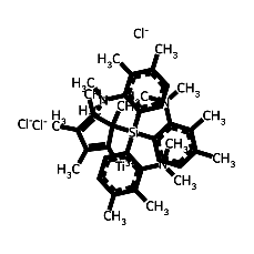 CC1=C(C)C(C)([Si](c2ccc(C)c(C)c2N(C)C)(c2ccc(C)c(C)c2N(C)C)c2ccc(C)c(C)c2N(C)C)[C]([Ti+3])=C1C.[Cl-].[Cl-].[Cl-]